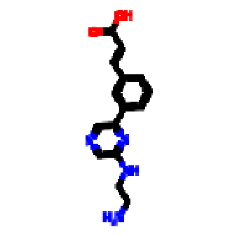 NCCNc1cncc(-c2cccc(C=CC(=O)O)c2)n1